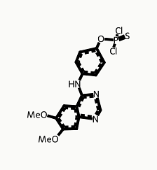 COc1cc2ncnc(Nc3ccc(OP(=S)(Cl)Cl)cc3)c2cc1OC